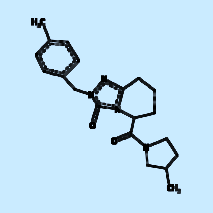 Cc1ccc(Cn2nc3n(c2=O)C(C(=O)N2CCC(C)C2)CCC3)cc1